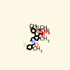 Cc1ccc(-c2c3c(cc(C)c2[C@H](OC(C)(C)C)C(=O)O)N(C(=O)c2cc(F)ccc2C)CC3)cc1